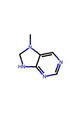 CN1CNc2ncncc21